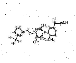 C#CC(=O)c1ccc(C)c(-n2c(C)nc(OCc3cccc(C(F)(F)F)n3)c(Cl)c2=O)c1